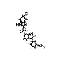 [O-][S+](Cc1cccn2c(-c3cccc(C(F)(F)F)c3)cnc12)c1nc2cc(Cl)ccc2[nH]1